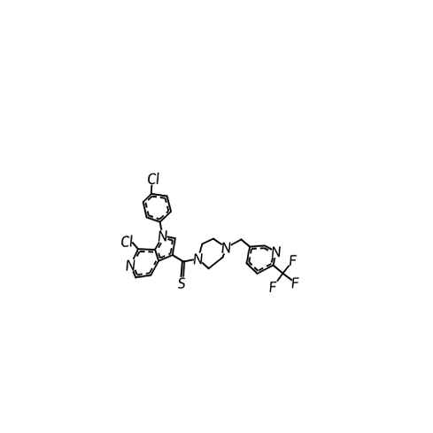 FC(F)(F)c1ccc(CN2CCN(C(=S)c3cn(-c4ccc(Cl)cc4)c4c(Cl)nccc34)CC2)cn1